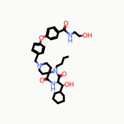 CCCCN1C(=O)[C@H]([C@H](O)C2CCCCC2)NC(=O)C12CCN(Cc1ccc(Oc3ccc(C(=O)NCCO)cc3)cc1)CC2